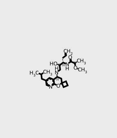 C=CC[C@H](NC(=O)[C@@H](C)OC)[C@H](O)CN[C@H]1CC2(CCC2)Oc2ncc(CC(C)C)cc21